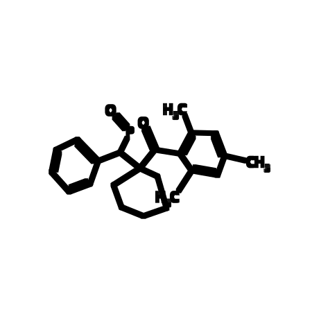 Cc1cc(C)c(C(=O)C2(C(P=O)c3ccccc3)CCCCC2)c(C)c1